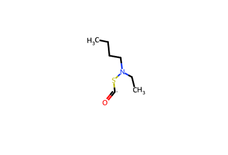 CCCCN(CC)S[C]=O